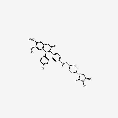 COc1cc2c(cc1OC(C)C)[C@H](c1ccc(Cl)cc1)N(c1ccc(N(C)CC3CCC(N4CC(=O)N(O)C4C)CC3)nc1)C(=O)C2